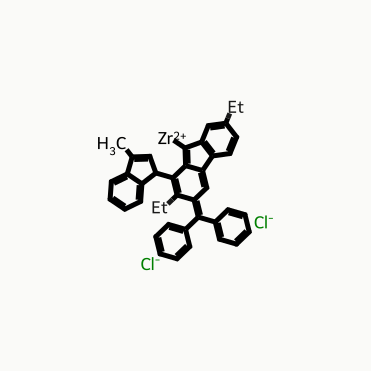 CCc1ccc2c(c1)[C]([Zr+2])=c1c-2cc(=C(c2ccccc2)c2ccccc2)c(CC)c1C1C=C(C)c2ccccc21.[Cl-].[Cl-]